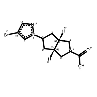 O=C(O)N1C[C@H]2CC(n3cc(Br)cn3)C[C@H]2C1